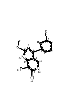 CSc1nc(-c2cccc(F)c2)c2cnc(Cl)c(F)c2n1